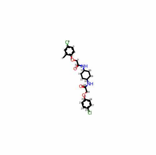 Cc1cc(Cl)ccc1OCC(=O)NC1CCC(NC(=O)COc2ccc(Cl)cc2)CC1